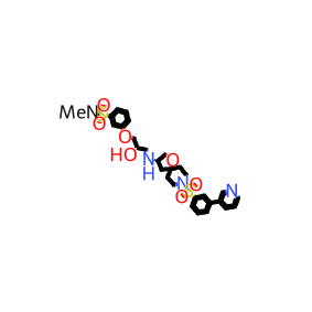 CNS(=O)(=O)c1cccc(OCC(O)CN[C@H]2COC3(CCN(S(=O)(=O)c4cccc(-c5cccnc5)c4)CC3)C2)c1